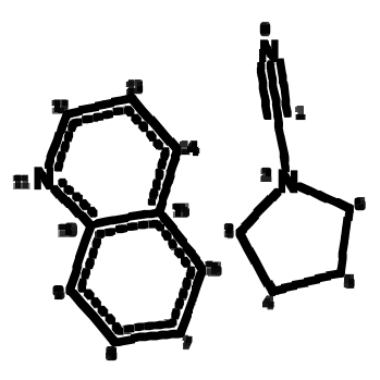 N#CN1CCCC1.c1ccc2ncccc2c1